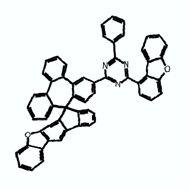 c1ccc(-c2nc(-c3ccc4c(c3)-c3ccccc3-c3ccccc3C43c4ccccc4-c4cc5c(cc43)oc3ccccc35)nc(-c3cccc4oc5ccccc5c34)n2)cc1